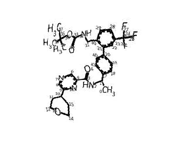 C[C@@H](NC(=O)c1cncc(C2CCOCC2)n1)c1ccc(-c2cc(C(F)(F)F)ccc2CNC(=O)OC(C)(C)C)cc1